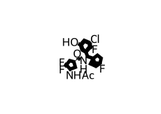 CC(=O)N[C@@H]1C[C@@H](C(=O)N[C@H](c2cc(O)cc(Cl)c2F)C23CCC(F)(CC2)C3)CC1(F)F